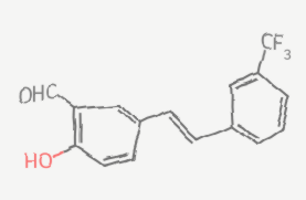 O=Cc1cc(/C=C/c2cccc(C(F)(F)F)c2)ccc1O